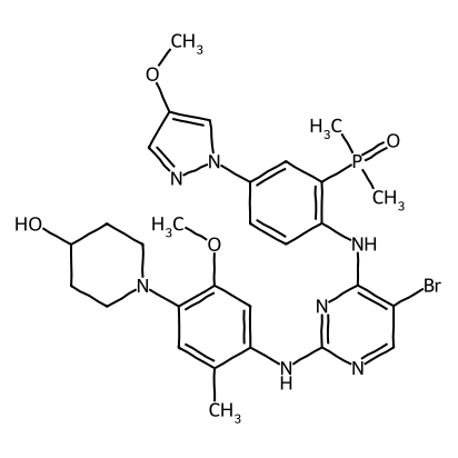 COc1cnn(-c2ccc(Nc3nc(Nc4cc(OC)c(N5CCC(O)CC5)cc4C)ncc3Br)c(P(C)(C)=O)c2)c1